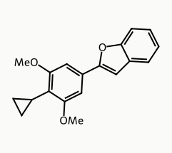 COc1cc(-c2cc3ccccc3o2)cc(OC)c1C1CC1